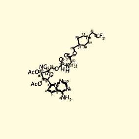 CC(=O)O[C@H]1[C@H](c2ccc3c(N)ncnn23)O[C@](C#N)(CO[PH](=O)N[C@@H](C)C(=O)OCC2CCN(CC(F)(F)F)CC2)[C@H]1OC(C)=O